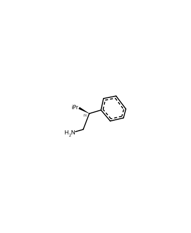 CC(C)[C@H](CN)c1ccccc1